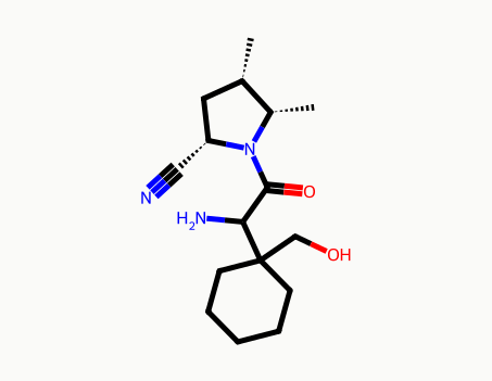 C[C@H]1C[C@@H](C#N)N(C(=O)C(N)C2(CO)CCCCC2)[C@H]1C